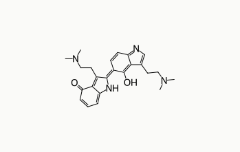 CN(C)CCC1=CN=c2ccc(=c3[nH]c4c(c3CCN(C)C)C(=O)C=CC=4)c(O)c21